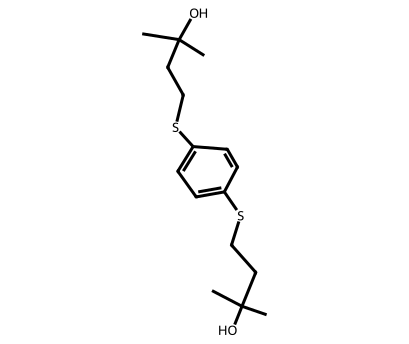 CC(C)(O)CCSc1ccc(SCCC(C)(C)O)cc1